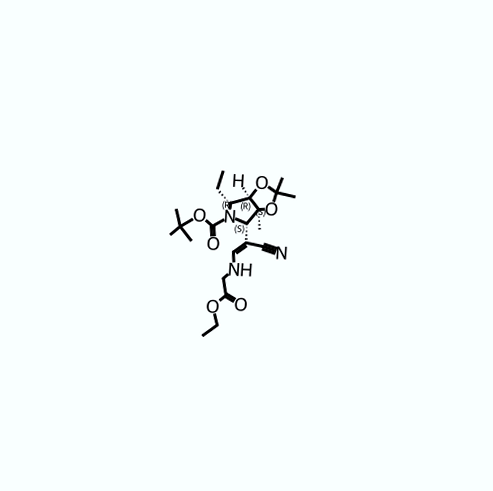 CCOC(=O)CNC=C(C#N)[C@@H]1N(C(=O)OC(C)(C)C)[C@H](CC)[C@H]2OC(C)(C)O[C@]21C